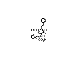 CCOC(=O)C(CCc1ccccc1)N[C@@H](C)C(=O)N[C@@H](CC1(C)CCCO1)C(=O)O